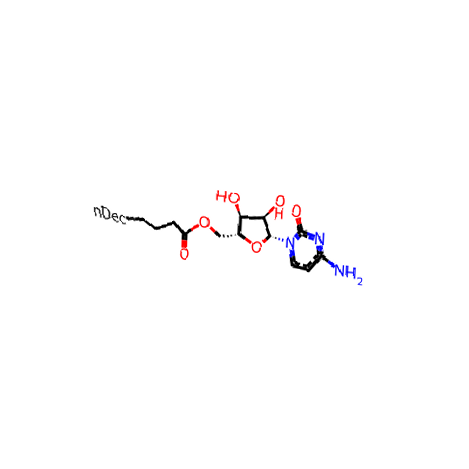 CCCCCCCCCCCCCC(=O)OC[C@H]1O[C@@H](n2ccc(N)nc2=O)[C@H](O)[C@@H]1O